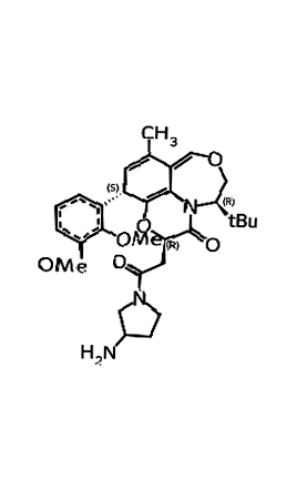 COc1cccc([C@@H]2C=C(C)C3=COC[C@@H](C(C)(C)C)N4C(=O)[C@@H](CC(=O)N5CCC(N)C5)OC2=C34)c1OC